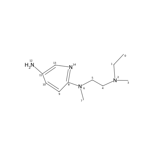 CCN(C)CCN(C)c1ccc(N)cn1